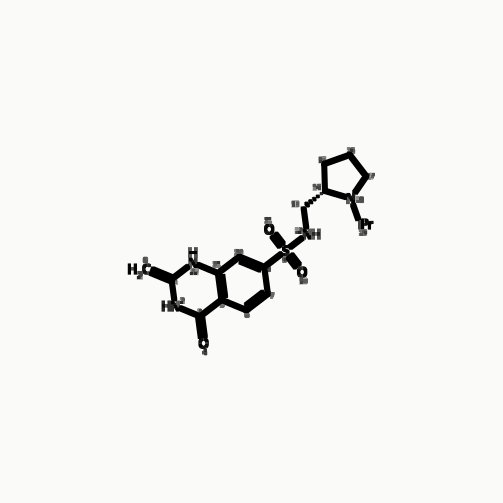 C=C1NC(=O)c2ccc(S(=O)(=O)NC[C@@H]3CCCN3C(C)C)cc2N1